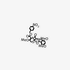 COC1=C(C(=O)OCc2ccc([N+](=O)[O-])cc2)N2C(=O)C(NC(=O)c3c(OC)cccc3OC)[C@H]2SC1